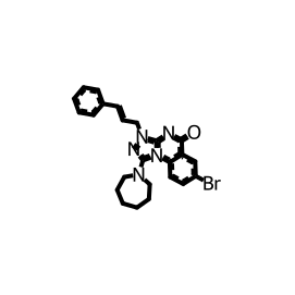 O=c1nc2n(C/C=C/c3ccccc3)nc(N3CCCCCC3)n2c2ccc(Br)cc12